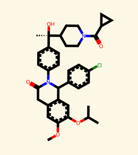 COc1cc2c(cc1OC(C)C)C(c1ccc(Cl)cc1)N(c1ccc([C@@](C)(O)C3CCN(C(=O)C4CC4)CC3)cc1)C(=O)C2